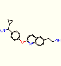 NCCc1ccc2nc(Oc3ccc(C(N)C4CC4)cc3)ccc2c1